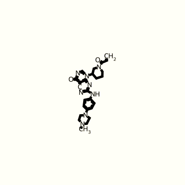 C=CC(=O)N1CCCC(n2cnc(=O)c3cnc(Nc4ccc(N5CCN(C)CC5)cc4)nc32)C1